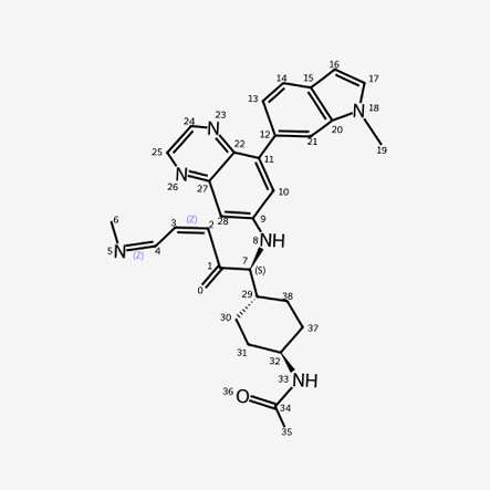 C=C(/C=C\C=N/C)[C@@H](Nc1cc(-c2ccc3ccn(C)c3c2)c2nccnc2c1)[C@H]1CC[C@H](NC(C)=O)CC1